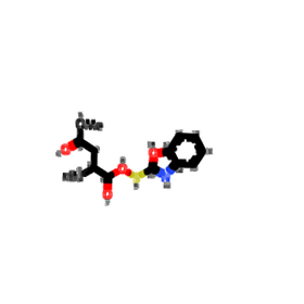 CCCCC(CC(=O)OC)C(=O)OSc1nc2ccccc2o1